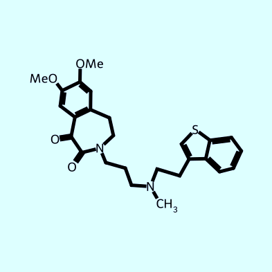 COc1cc2c(cc1OC)C(=O)C(=O)N(CCCN(C)CCc1csc3ccccc13)CC2